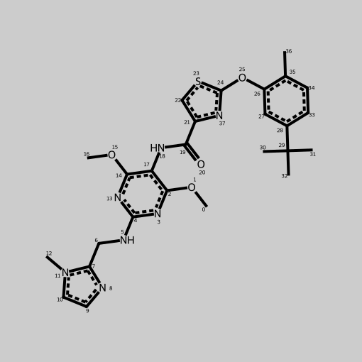 COc1nc(NCc2nccn2C)nc(OC)c1NC(=O)c1csc(Oc2cc(C(C)(C)C)ccc2C)n1